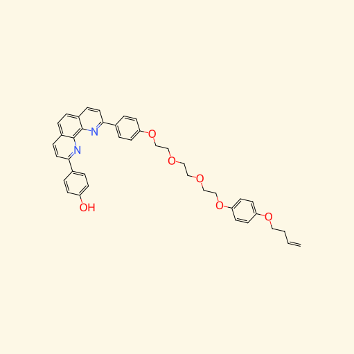 C=CCCOc1ccc(OCCOCCOCCOc2ccc(-c3ccc4ccc5ccc(-c6ccc(O)cc6)nc5c4n3)cc2)cc1